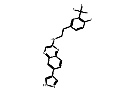 Fc1ccc(CCNc2cnc3cc(-c4cn[nH]c4)ccc3n2)cc1C(F)(F)F